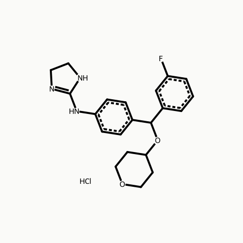 Cl.Fc1cccc(C(OC2CCOCC2)c2ccc(NC3=NCCN3)cc2)c1